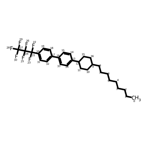 CCCCCCCCCC1CCC(c2ccc(-c3ccc(C(F)(F)C(F)(F)C(F)(F)F)cc3)cc2)CC1